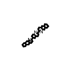 c1ccc2cc3nc(-c4ccc5nc(-c6ccc7cc8ccccc8cc7n6)ccc5c4)ccc3cc2c1